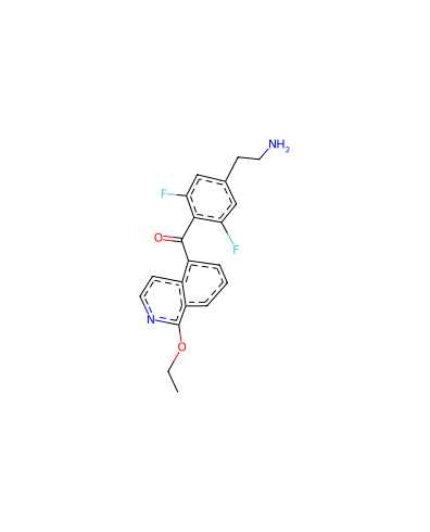 CCOc1nccc2c(C(=O)c3c(F)cc(CCN)cc3F)cccc12